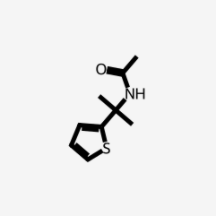 CC(=O)NC(C)(C)c1cccs1